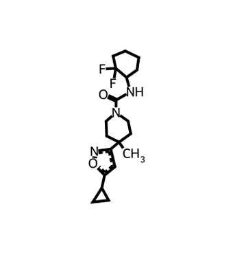 CC1(c2cc(C3CC3)on2)CCN(C(=O)NC2CCCCC2(F)F)CC1